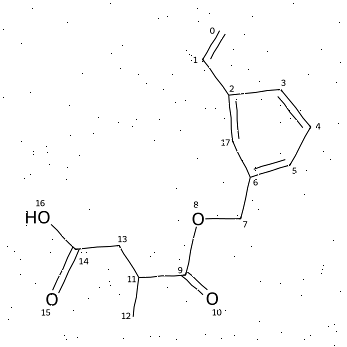 C=Cc1cccc(COC(=O)C(C)CC(=O)O)c1